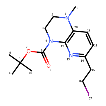 CN1CCN(C(=O)OC(C)(C)C)c2nc(CCI)ccc21